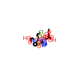 CCOC(=O)CC(O)(CC(=O)OC(=O)[C@](CNC(=O)c1ccc(Cl)s1)(NS(=O)(=O)c1cccc(N2CC[C@H](O)C2=O)c1CC)c1nccn1C)C(=O)O